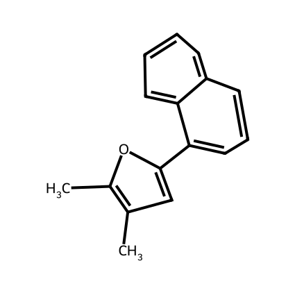 Cc1cc(-c2cccc3ccccc23)oc1C